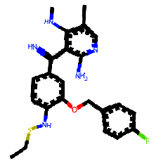 CCSNc1ccc(C(=N)c2c(N)ncc(C)c2NC)cc1OCc1ccc(F)cc1